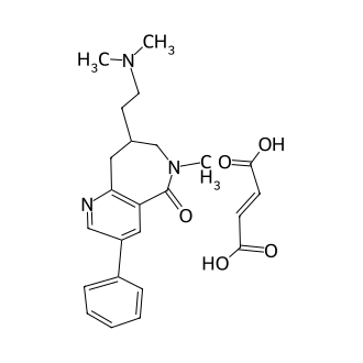 CN(C)CCC1Cc2ncc(-c3ccccc3)cc2C(=O)N(C)C1.O=C(O)/C=C/C(=O)O